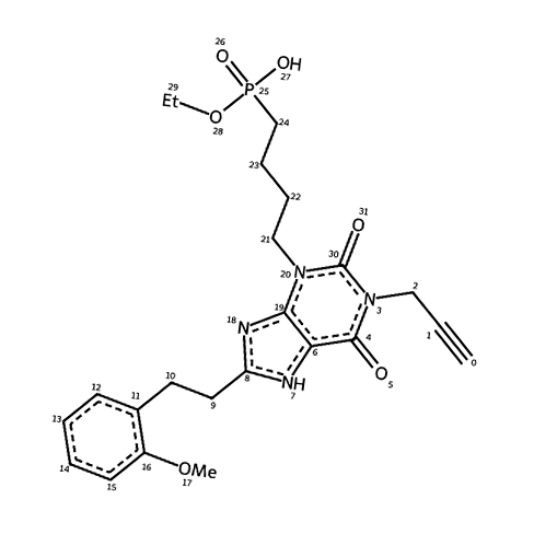 C#CCn1c(=O)c2[nH]c(CCc3ccccc3OC)nc2n(CCCCP(=O)(O)OCC)c1=O